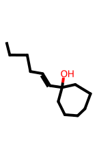 CCCCC=CC1(O)CCCCCC1